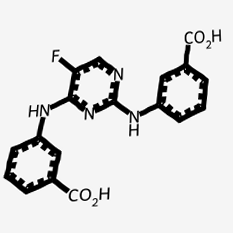 O=C(O)c1cccc(Nc2ncc(F)c(Nc3cccc(C(=O)O)c3)n2)c1